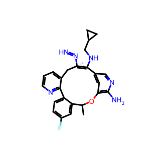 CC1Oc2cc(cnc2N)/C(NCC2CC2)=C(/N=N)Cc2cccnc2-c2ccc(F)cc21